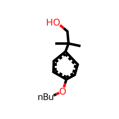 CCCCOc1ccc(C(C)(C)CO)cc1